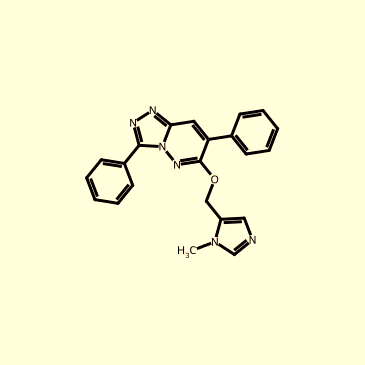 Cn1cncc1COc1nn2c(-c3ccccc3)nnc2cc1-c1ccccc1